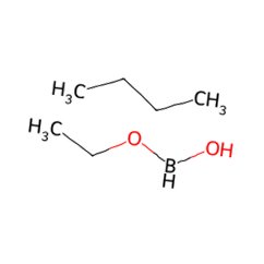 CCCC.CCOBO